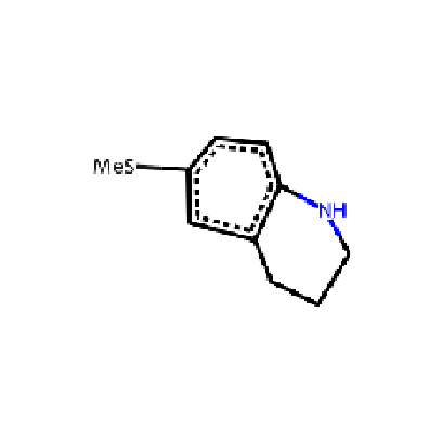 CSc1ccc2c(c1)CCCN2